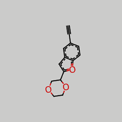 C#Cc1ccc2oc(C3COCCO3)cc2c1